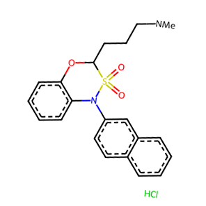 CNCCCC1Oc2ccccc2N(c2ccc3ccccc3c2)S1(=O)=O.Cl